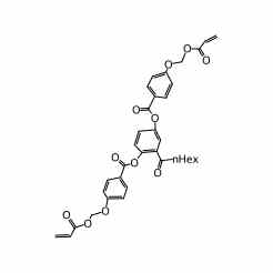 C=CC(=O)OCOc1ccc(C(=O)Oc2ccc(OC(=O)c3ccc(OCOC(=O)C=C)cc3)c(C(=O)CCCCCC)c2)cc1